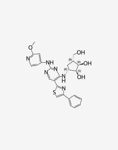 COc1cc(Nc2ncc(-c3nc(-c4ccccc4)cs3)c(N[C@@H]3C[C@H](CO)[C@@H](O)[C@H]3O)n2)ccn1